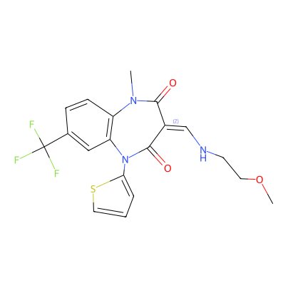 COCCN/C=C1/C(=O)N(C)c2ccc(C(F)(F)F)cc2N(c2cccs2)C1=O